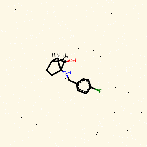 CC1(C)C2CCC1(NCc1ccc(F)cc1)C(O)C2